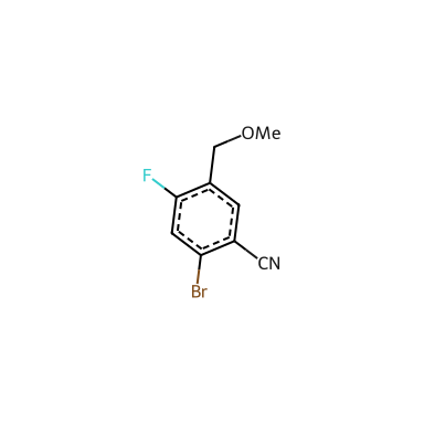 COCc1cc(C#N)c(Br)cc1F